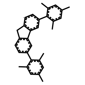 Cc1cc(C)c(-c2c[c]c3c(c2)-c2cc(-c4c(C)cc(C)cc4C)ccc2C3)c(C)c1